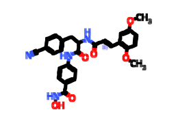 COc1ccc(OC)c(/C=C/C(=O)NC(Cc2ccc(C#N)cc2)C(=O)Nc2ccc(C(=O)NO)cc2)c1